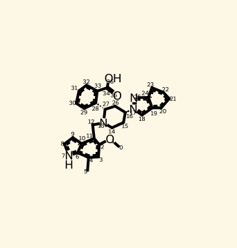 COc1cc(C)c2[nH]ccc2c1CN1CC[C@@H](n2cc3ccccc3n2)C[C@H]1c1ccccc1C(=O)O